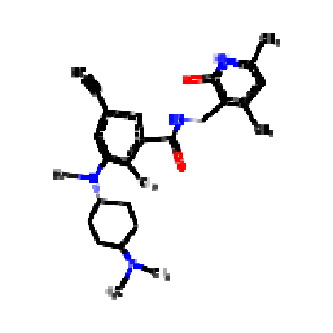 C#Cc1cc(C(=O)NCc2c(C)cc(C)[nH]c2=O)c(C)c(N(CC)[C@H]2CC[C@H](N(C)C)CC2)c1